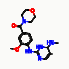 CNC1[C]=CN=C(Nc2ccc(C(=O)N3CCOCC3)cc2OC)N1